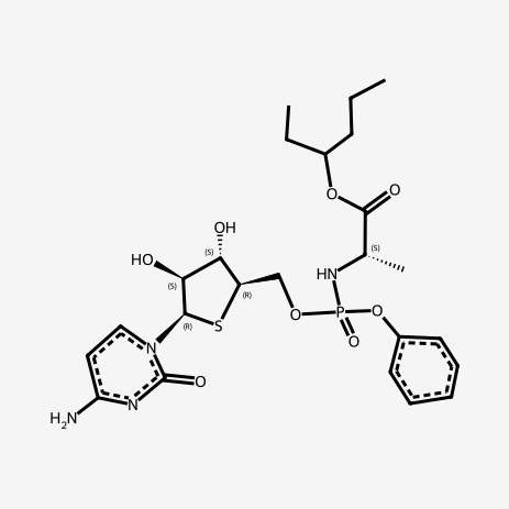 CCCC(CC)OC(=O)[C@H](C)NP(=O)(OC[C@H]1S[C@@H](n2ccc(N)nc2=O)[C@@H](O)[C@@H]1O)Oc1ccccc1